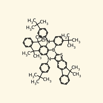 CC(C)(C)c1ccc(N2c3ccc(C(C)(C)C)cc3B3c4sc5cc6c(cc5c4N(c4ccc(C(C)(C)C)cc4)c4cc5c(c2c43)C(C)(C)c2ccccc2C5(C)C)-c2ccccc2C6(C)C)cc1